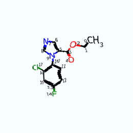 CCOC(=O)c1cncn1-c1ccc(F)cc1Cl